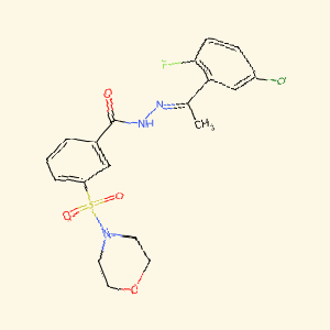 C/C(=N\NC(=O)c1cccc(S(=O)(=O)N2CCOCC2)c1)c1cc(Cl)ccc1F